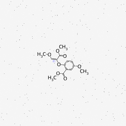 CO/C=C(/Oc1ccc(OC)cc1C(=O)OC)C(=O)OC